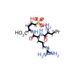 CC(C)CC(N)C(=O)N[C@@H](CCCN=C(N)N)C(=O)N[C@@H](/C=C\CP(=O)(O)O)C(=O)O